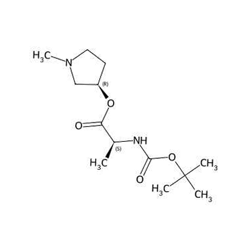 C[C@H](NC(=O)OC(C)(C)C)C(=O)O[C@@H]1CCN(C)C1